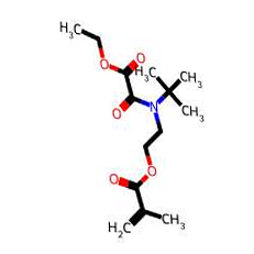 C=C(C)C(=O)OCCN(C(=O)C(=O)OCC)C(C)(C)C